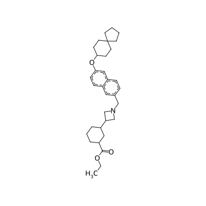 CCOC(=O)C1CCCC(C2CN(Cc3ccc4cc(OC5CCC6(CCCC6)CC5)ccc4c3)C2)C1